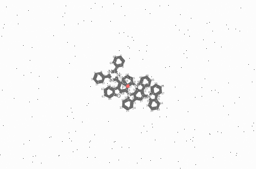 c1ccc(-c2nc(-c3ccccc3)nc(-c3ccc(-n4c5ccccc5c5cc(-n6c7ccccc7c7ccccc76)c6c7ccccc7n(-c7ccccc7)c6c54)c4oc5ccccc5c34)n2)cc1